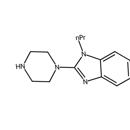 CCCn1c(N2CCNCC2)nc2ccccc21